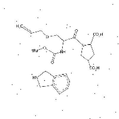 C=CCOCC(NC(=O)OC(C)(C)C)C(=O)N1CC(C(=O)O)CC1C(=O)O.c1ccc2c(c1)CNC2